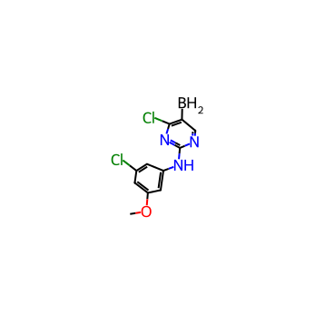 Bc1cnc(Nc2cc(Cl)cc(OC)c2)nc1Cl